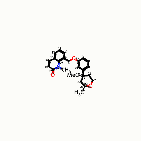 CO[C@]1(c2cccc(OCc3cccc4ccc(=O)n(C)c34)c2)CCO[C@@H](C)C1